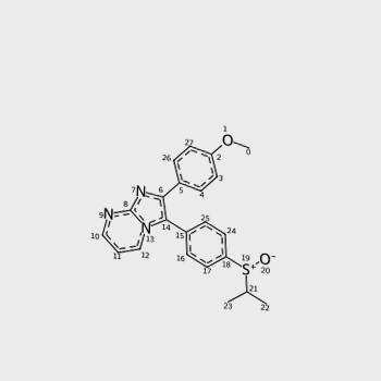 COc1ccc(-c2nc3ncccn3c2-c2ccc([S+]([O-])C(C)C)cc2)cc1